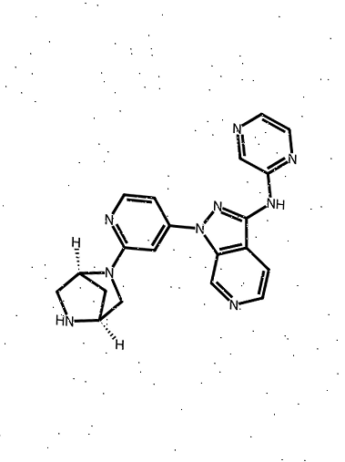 c1cnc(Nc2nn(-c3ccnc(N4C[C@@H]5C[C@H]4CN5)c3)c3cnccc23)cn1